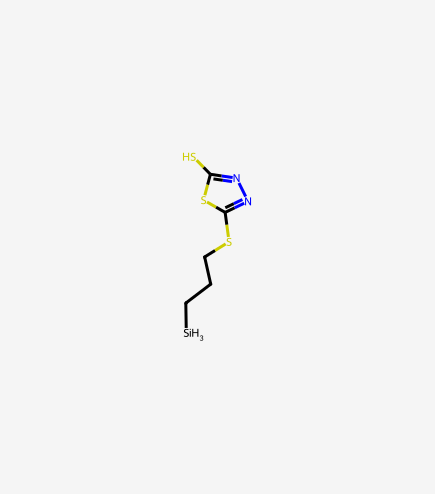 [SiH3]CCCSc1nnc(S)s1